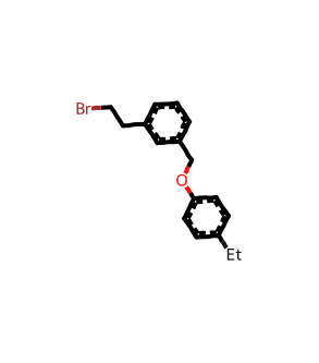 CCc1ccc(OCc2cccc(CCBr)c2)cc1